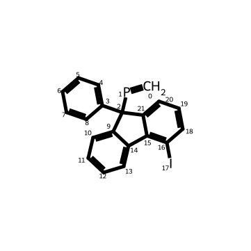 C=PC1(c2ccccc2)c2ccccc2-c2c(I)cccc21